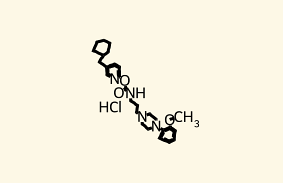 COc1ccccc1N1CCN(CCCNC(=O)Oc2ccc(CC3CCCCC3)cn2)CC1.Cl